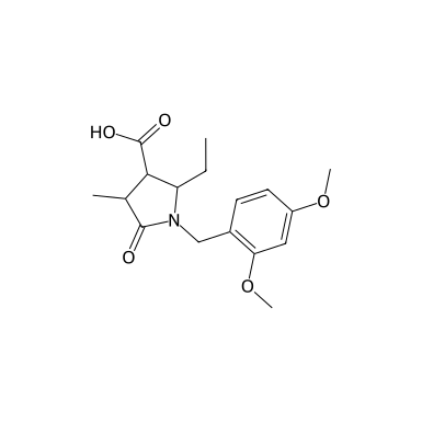 CCC1C(C(=O)O)C(C)C(=O)N1Cc1ccc(OC)cc1OC